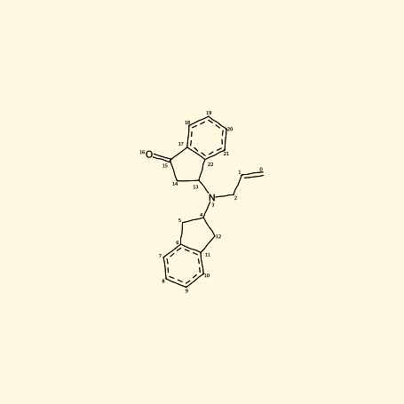 C=CCN(C1Cc2ccccc2C1)C1CC(=O)c2ccccc21